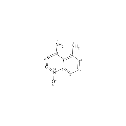 NC(=S)c1c(N)cccc1[N+](=O)[O-]